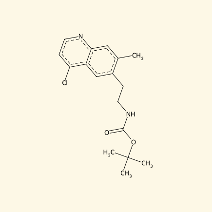 Cc1cc2nccc(Cl)c2cc1CCNC(=O)OC(C)(C)C